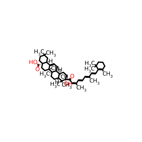 CC(=CC(=O)[C@]1(O)CC[C@@]2(C)[C@@H](CC[C@]3(C)[C@H]2CC=C2[C@@H]4CC(C)(C)CC[C@]4(C(=O)O)CC[C@]23C)C1(C)C)/C=C/C=C(C)/C=C/C1=C(C)CCCC1(C)C